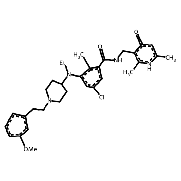 CCN(c1cc(Cl)cc(C(=O)NCc2c(C)[nH]c(C)cc2=O)c1C)C1CCN(CCc2cccc(OC)c2)CC1